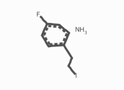 Fc1ccc(CCI)cc1.N